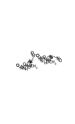 CN1C(=O)[C@@H](NC(=O)c2ncn(Cc3cccc(C4COCCN4CCCc4cc5n(n4)CC[C@@H](NC(=O)c4ncn(Cc6ccccc6)n4)C(=O)N5C)c3)n2)CCn2nc(CCCN3CCOCC3)cc21